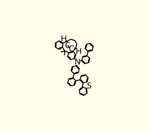 CC1(C)c2ccccc2[C@H]2CCC[C@H](CCC2)c2cc(N(c3ccc(-c4ccccc4-c4cccc5sc6ccccc6c45)cc3)c3cccc(-c4ccccc4)c3)ccc21